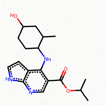 CC(C)OC(=O)c1cnc2[nH]ccc2c1NC1CCC(O)CC1C